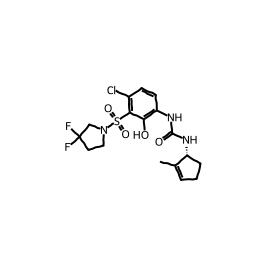 CC1=CCC[C@H]1NC(=O)Nc1ccc(Cl)c(S(=O)(=O)N2CCC(F)(F)C2)c1O